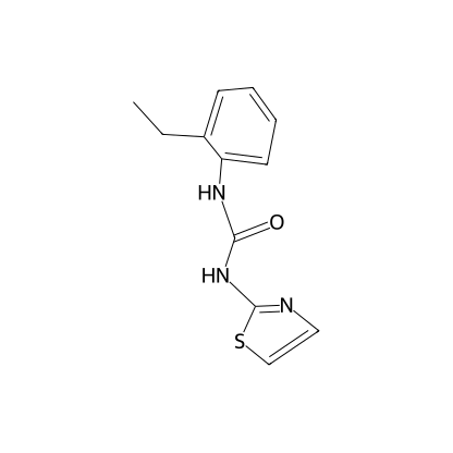 CCc1ccccc1NC(=O)Nc1nccs1